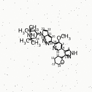 COc1cc(-c2c[nH]nc2C2CCCCO2)cnc1-c1cc2ccn(C3CC(C)(C)NC(C)(C)C3)c2nn1